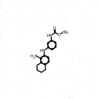 CC(C)(C)OC(=O)Nc1cccc(Nc2ccc3c(c2N)CCCC3)c1